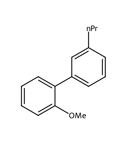 CCCc1cccc(-c2ccccc2OC)c1